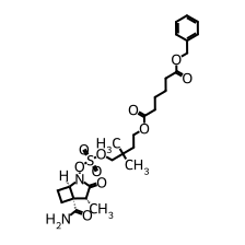 C[C@H]1C(=O)N(OS(=O)(=O)OCC(C)(C)CCOC(=O)CCCCC(=O)OCc2ccccc2)[C@@H]2CC[C@]12C(N)=O